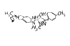 CC(=O)N1Cc2cc3nc(C4C(O)C(c5ccc(C)cc5)=NN4C)[nH]c3cc2C1